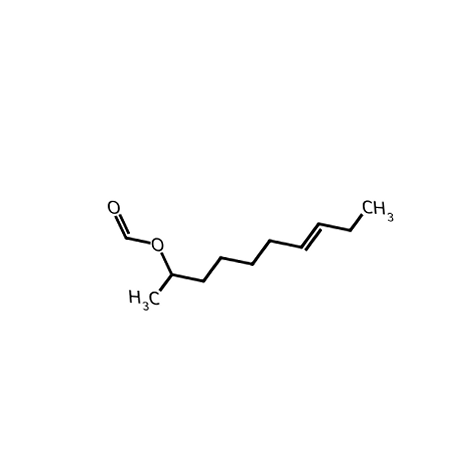 CCC=CCCCCC(C)OC=O